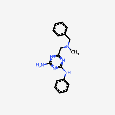 CN(Cc1ccccc1)Cc1nc(N)nc(Nc2ccccc2)n1